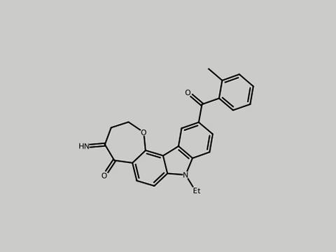 CCn1c2ccc(C(=O)c3ccccc3C)cc2c2c3c(ccc21)C(=O)C(=N)CCO3